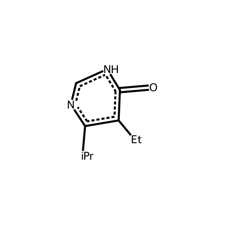 CCc1c(C(C)C)nc[nH]c1=O